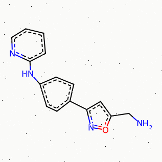 NCc1cc(-c2ccc(Nc3ccccn3)cc2)no1